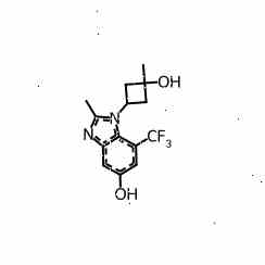 Cc1nc2cc(O)cc(C(F)(F)F)c2n1C1CC(C)(O)C1